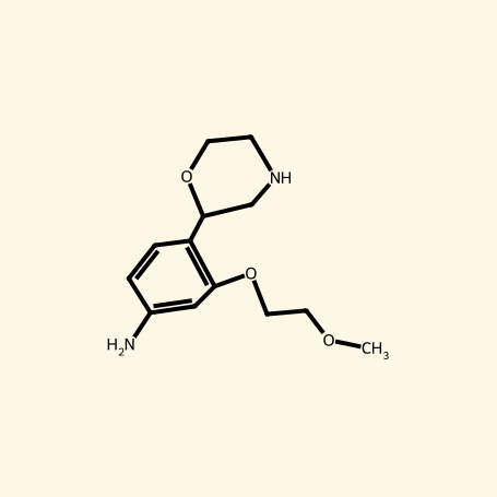 COCCOc1cc(N)ccc1C1CNCCO1